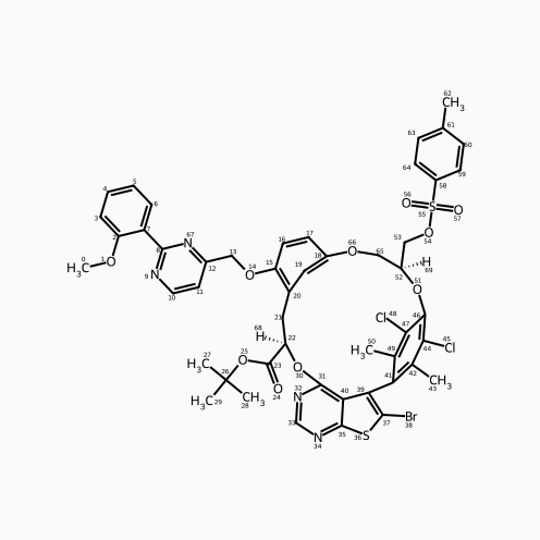 COc1ccccc1-c1nccc(COc2ccc3cc2C[C@H](C(=O)OC(C)(C)C)Oc2ncnc4sc(Br)c(c24)-c2c(C)c(Cl)c(c(Cl)c2C)O[C@H](COS(=O)(=O)c2ccc(C)cc2)CO3)n1